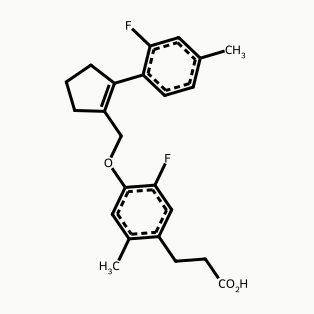 Cc1ccc(C2=C(COc3cc(C)c(CCC(=O)O)cc3F)CCC2)c(F)c1